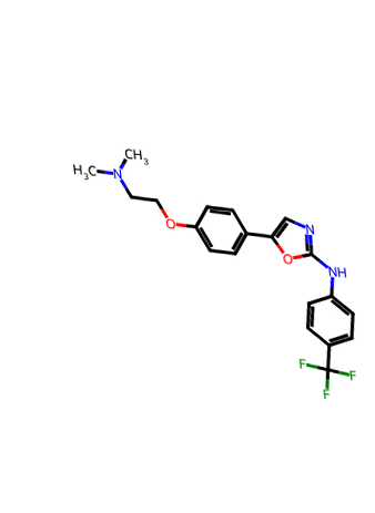 CN(C)CCOc1ccc(-c2cnc(Nc3ccc(C(F)(F)F)cc3)o2)cc1